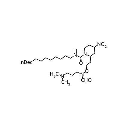 CCCCCCCCCCCCCCCCCCNC(=O)N1CCC([N+](=O)[O-])CC1CCON(C=O)CCCN(C)C